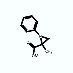 COC(=O)C1(C)CN1c1ccccc1